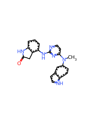 CN(c1ccc2[nH]ccc2c1)c1ccnc(Nc2cccc3c2CC(=O)N3)n1